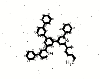 C/C=C\C=C/C(I)c1cc(-c2cc(-c3cc(C4=CC=CCC4)ccn3)cc(C3C=C(c4ccccc4)C=CN3)c2)cc(C2=CCCC=C2)n1